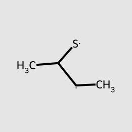 C[CH]C(C)[S]